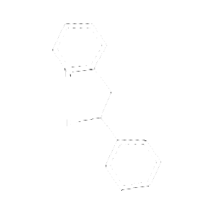 O[C](Cc1ccccn1)c1ccccc1